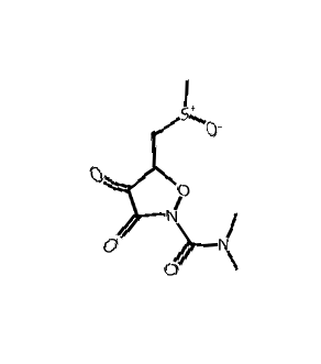 CN(C)C(=O)N1OC(C[S+](C)[O-])C(=O)C1=O